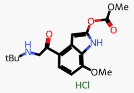 COC(=O)Oc1cc2c(C(=O)CNC(C)(C)C)ccc(OC)c2[nH]1.Cl